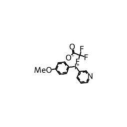 COc1ccc([I+]c2cccnc2)cc1.O=C([O-])C(F)(F)F